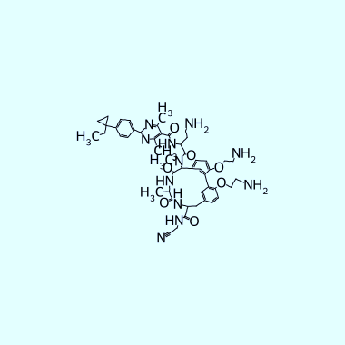 CCC1(c2ccc(-c3nc(C)c(C(=O)NC(CCN)C(=O)N(C)C4C(=O)NC(C)C(=O)NC(C(=O)NCC#N)Cc5ccc(OCCN)c(c5)-c5cc4ccc5OCCN)c(C)n3)cc2)CC1